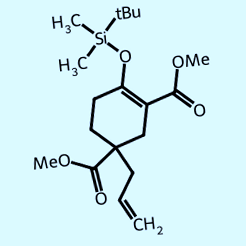 C=CCC1(C(=O)OC)CCC(O[Si](C)(C)C(C)(C)C)=C(C(=O)OC)C1